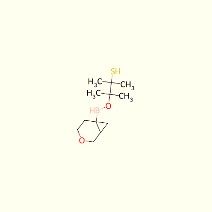 CC(C)(S)C(C)(C)OBC12CCOCC1C2